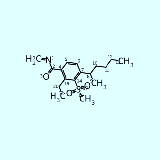 C=NC(=O)c1ccc(C(C)CCCC)c(S(C)(=O)=O)c1CC